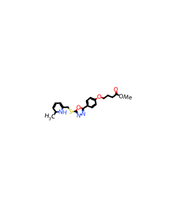 COC(=O)CCCOc1ccc(-c2nnc(SCC3=CC=CC(C)N3)o2)cc1